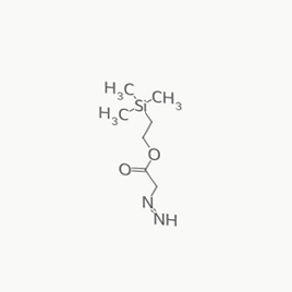 C[Si](C)(C)CCOC(=O)CN=N